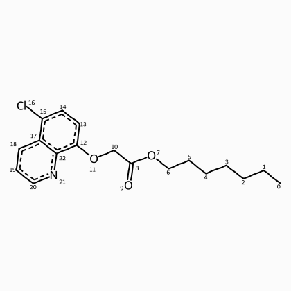 CCCCCCCOC(=O)COc1ccc(Cl)c2cccnc12